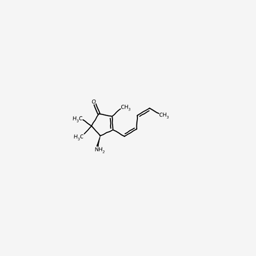 C/C=C\C=C/C1=C(C)C(=O)C(C)(C)[C@@H]1N